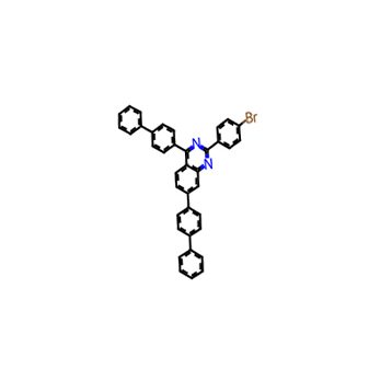 Brc1ccc(-c2nc(-c3ccc(-c4ccccc4)cc3)c3ccc(-c4ccc(-c5ccccc5)cc4)cc3n2)cc1